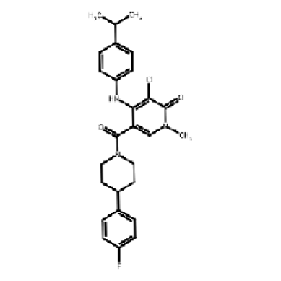 CC(C)c1ccc(Nc2c(C(=O)N3CCC(c4ccc(F)cc4)CC3)cn(C)c(=O)c2Cl)cc1